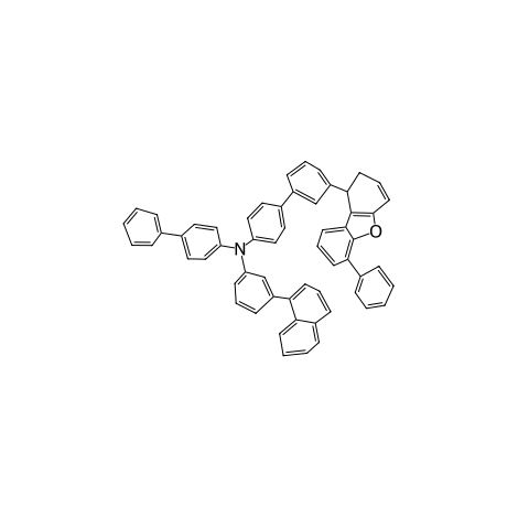 C1=Cc2oc3c(-c4ccccc4)cccc3c2C(c2cccc(-c3ccc(N(c4ccc(-c5ccccc5)cc4)c4cccc(-c5cccc6ccccc56)c4)cc3)c2)C1